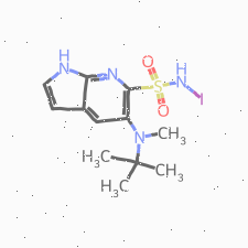 CN(c1cc2cc[nH]c2nc1S(=O)(=O)NI)C(C)(C)C